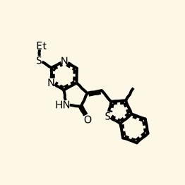 CCSc1ncc2c(n1)NC(=O)C2=Cc1sc2ccccc2c1C